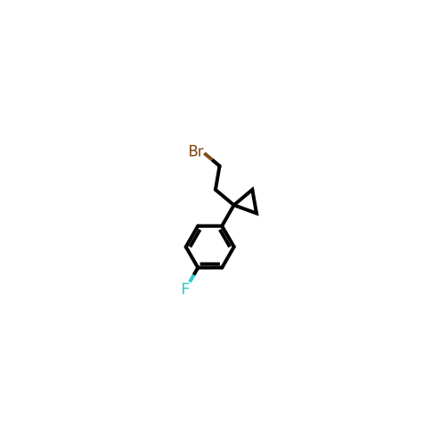 Fc1ccc(C2(CCBr)CC2)cc1